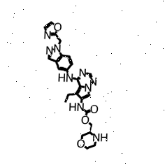 CCc1c(NC(=O)OC[C@@H]2COCCN2)cn2ncnc(Nc3ccc4c(cnn4Cc4ncco4)c3)c12